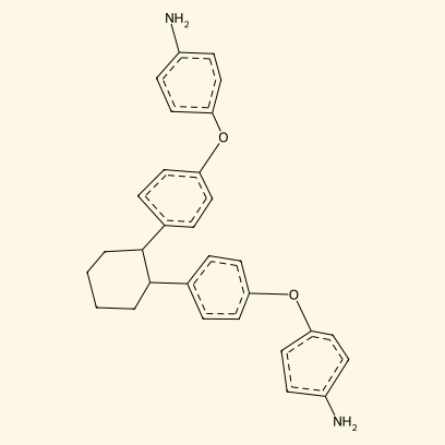 Nc1ccc(Oc2ccc(C3CCCCC3c3ccc(Oc4ccc(N)cc4)cc3)cc2)cc1